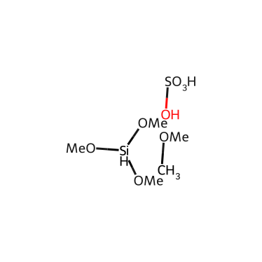 COC.CO[SiH](OC)OC.O=S(=O)(O)O